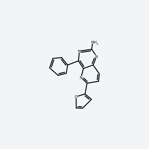 Nc1nc(-c2ccccc2)c2nc(-c3ccco3)ccc2n1